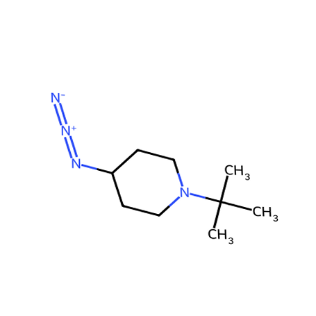 CC(C)(C)N1CCC(N=[N+]=[N-])CC1